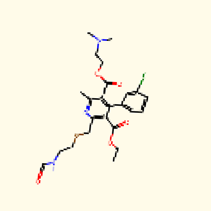 CCOC(=O)c1c(CSCCNC=O)nc(C)c(C(=O)OCCN(C)C)c1-c1cccc(Cl)c1